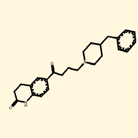 O=C1CCc2cc(C(=O)CCCN3CCC(Cc4ccccc4)CC3)ccc2N1